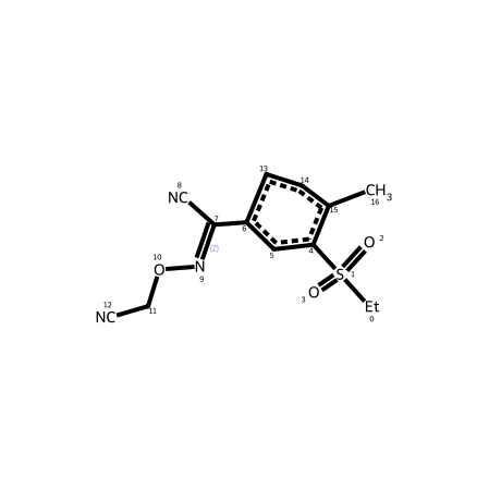 CCS(=O)(=O)c1cc(/C(C#N)=N/OCC#N)ccc1C